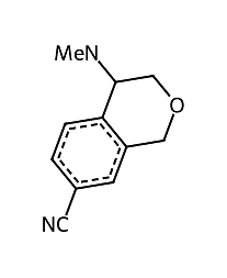 CNC1COCc2cc(C#N)ccc21